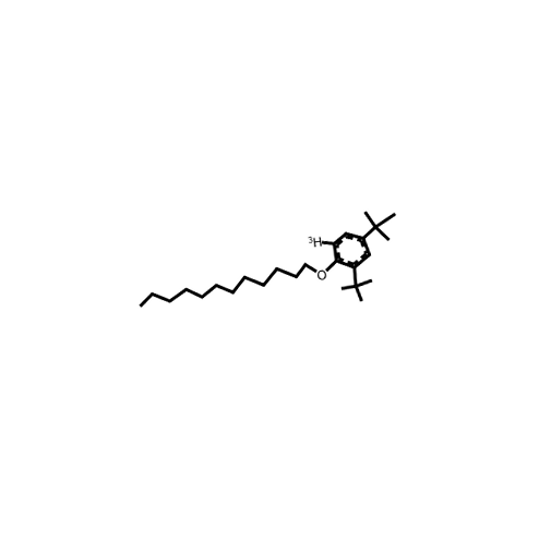 [3H]c1cc(C(C)(C)C)cc(C(C)(C)C)c1OCCCCCCCCCCCC